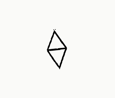 [C]1C2CC12